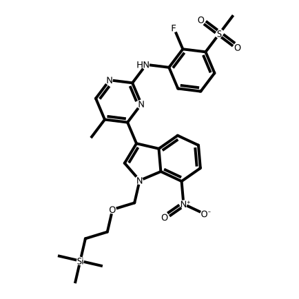 Cc1cnc(Nc2cccc(S(C)(=O)=O)c2F)nc1-c1cn(COCC[Si](C)(C)C)c2c([N+](=O)[O-])cccc12